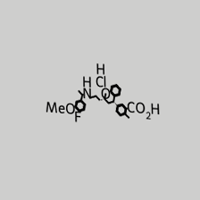 COc1cc(C(C)NCCC[C@H]2C[C@@H](c3ccc(C)c(C(=O)O)c3)c3ccccc3O2)ccc1F.Cl